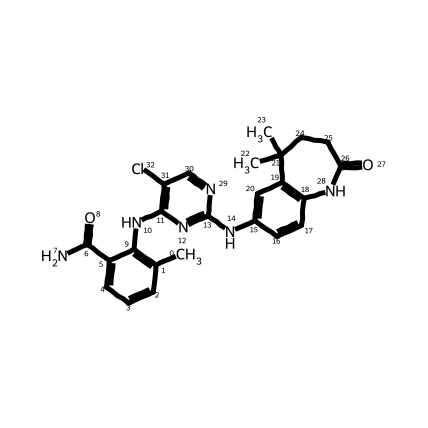 Cc1cccc(C(N)=O)c1Nc1nc(Nc2ccc3c(c2)C(C)(C)CCC(=O)N3)ncc1Cl